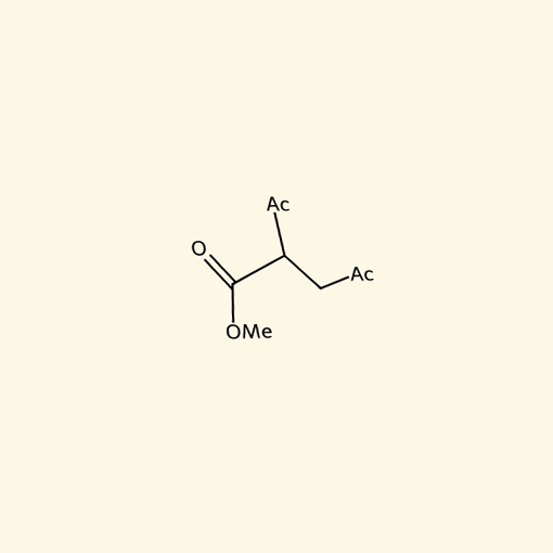 COC(=O)C(CC(C)=O)C(C)=O